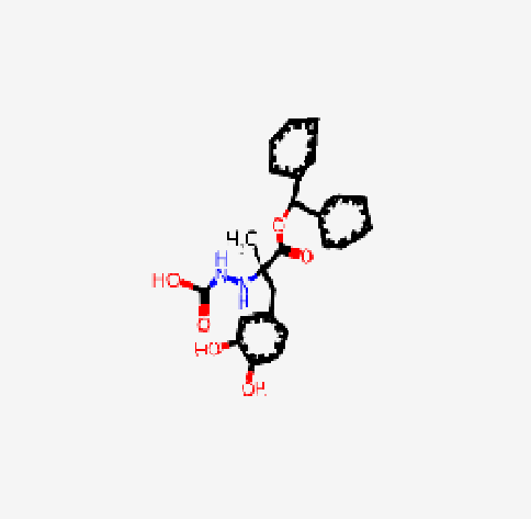 C[C@@](Cc1ccc(O)c(O)c1)(NNC(=O)O)C(=O)OC(c1ccccc1)c1ccccc1